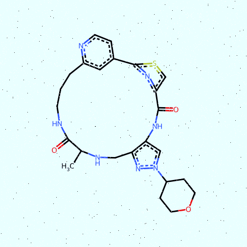 CC1NCc2nn(C3CCOCC3)cc2NC(=O)c2csc(n2)-c2ccnc(c2)CCCNC1=O